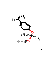 C=C(C)c1ccc(OC(C)(CCCC)OCCCCC)cc1